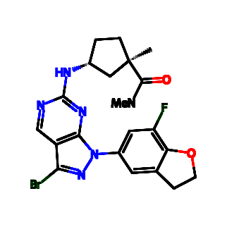 CNC(=O)[C@]1(C)CC[C@@H](Nc2ncc3c(Br)nn(-c4cc(F)c5c(c4)CCO5)c3n2)C1